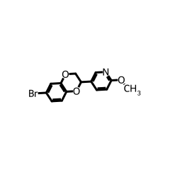 COc1ccc(C2COc3cc(Br)ccc3O2)cn1